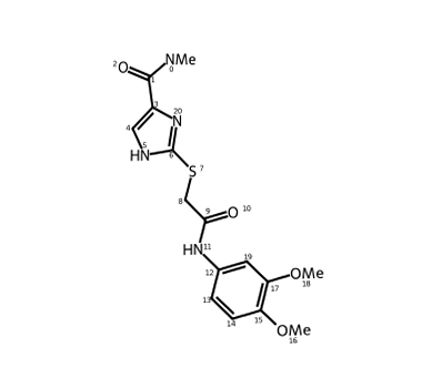 CNC(=O)c1c[nH]c(SCC(=O)Nc2ccc(OC)c(OC)c2)n1